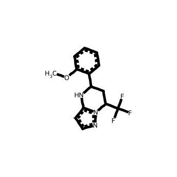 COc1ccccc1C1CC(C(F)(F)F)n2nc[c]c2N1